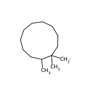 [CH2]C1(C)CCCCCCCCCC1C